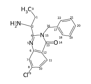 CCC(N)c1nc2cc(Cl)ccc2c(=O)n1Cc1ccccc1